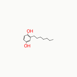 CCCCCCCc1cc(O)ccc1O